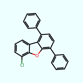 Clc1cccc2c1oc1c(-c3ccccc3)ccc(-c3ccccc3)c12